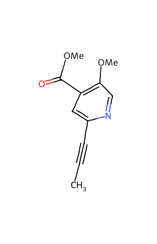 CC#Cc1cc(C(=O)OC)c(OC)cn1